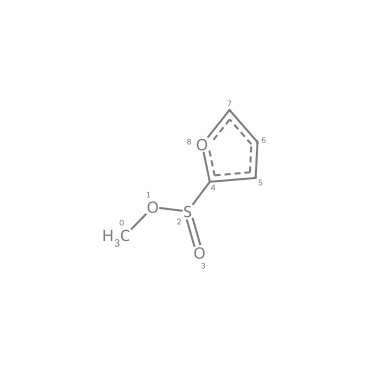 COS(=O)c1ccco1